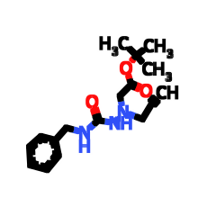 C#CCN(CC(=O)OC(C)(C)C)NC(=O)NCc1ccccc1